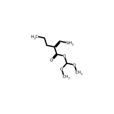 CCCC(=C[SiH3])C(=O)OC(OC)OC